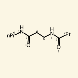 CCCNC(=O)CCNC(=O)CC